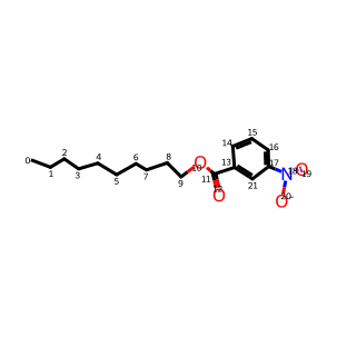 CCCCCCCCCCOC(=O)c1cccc([N+](=O)[O-])c1